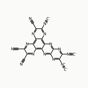 [C-]#[N+]c1nc2c(nc1C#N)c1nc(C#N)c(C#N)nc1c1nc3nc([N+]#[C-])c([N+]#[C-])nc3nc21